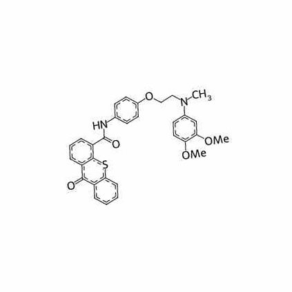 COc1ccc(N(C)CCOc2ccc(NC(=O)c3cccc4c(=O)c5ccccc5sc34)cc2)cc1OC